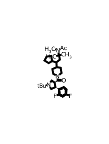 CC(=O)N(C)C(C)(C)CC(C1CCCC1)C1CCN(C(=O)[C@@H]2CN(C(C)(C)C)C[C@H]2c2ccc(F)cc2F)CC1